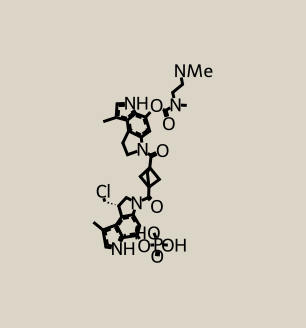 CNCCN(C)C(=O)Oc1cc2c(c3c(C)c[nH]c13)CCN2C(=O)C12CC(C(=O)N3C[C@@H](CCl)c4c3cc(OP(=O)(O)O)c3[nH]cc(C)c43)(C1)C2